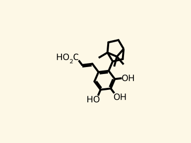 CC1(C)C2CCC1(C)C(c1c(C=CC(=O)O)cc(O)c(O)c1O)C2